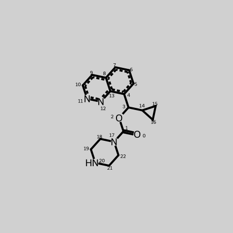 O=C(OC(c1cccc2ccnnc12)C1CC1)N1CCNCC1